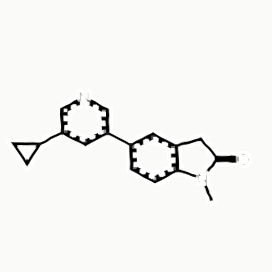 CN1C(=O)Cc2cc(-c3cncc(C4CC4)c3)ccc21